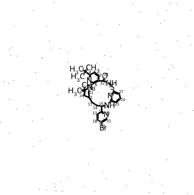 CC(C)(C)c1ccc2c(n1)N1CC(CCC(c3ccc(Br)cn3)Nc3cccc(n3)SNC2=O)CC1(C)C